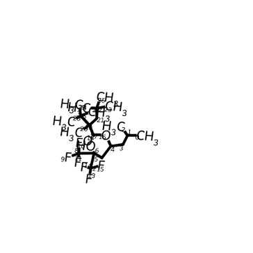 CC(C)CC(CC(O)(C(F)(F)F)C(F)(F)F)OC(=O)C(C)(CC(C)(C)C)C(C)(C)C